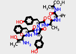 CC(C)[C@H](NC(=O)[C@H](C)NC(=O)[C@H](Cc1ccc(O)cc1)NC(=O)[C@H](Cc1ccc(O)cc1)NC(=O)[C@H](Cc1ccccc1)NC(=O)[C@@H](N)[C@@H](C)O)C(=O)N[C@@H](C)C(=O)O